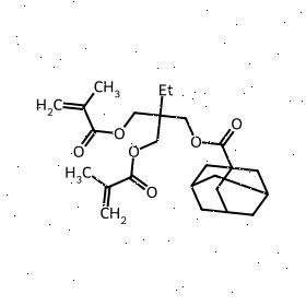 C=C(C)C(=O)OCC(CC)(COC(=O)C(=C)C)COC(=O)C12CC3CC(CC(C3)C1)C2